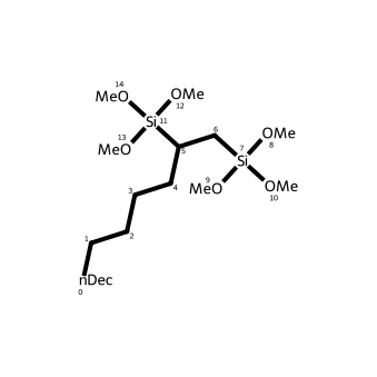 CCCCCCCCCCCCCCC(C[Si](OC)(OC)OC)[Si](OC)(OC)OC